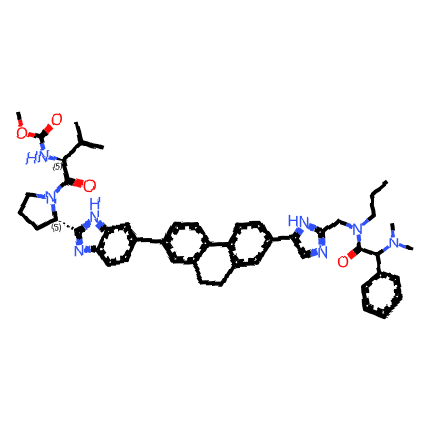 CCCN(Cc1ncc(-c2ccc3c(c2)CCc2cc(-c4ccc5nc([C@@H]6CCCN6C(=O)[C@@H](NC(=O)OC)C(C)C)[nH]c5c4)ccc2-3)[nH]1)C(=O)C(c1ccccc1)N(C)C